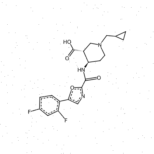 O=C(N[C@@H]1CCN(CC2CC2)C[C@H]1C(=O)O)c1ncc(-c2ccc(F)cc2F)o1